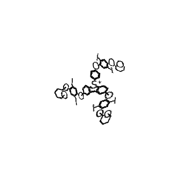 Ic1cc(OC2CCCCO2)c(I)cc1Oc1ccc(-[s+]2c3ccc(Oc4cc(I)c(OC5CCCCO5)cc4I)cc3c3cc(Oc4cc(I)c(OC5CCCCO5)cc4I)ccc32)cc1